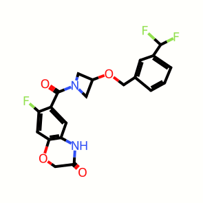 O=C1COc2cc(F)c(C(=O)N3CC(OCc4cccc(C(F)F)c4)C3)cc2N1